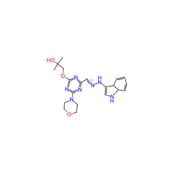 CC(C)(O)COc1nc(/C=N/NC2=CNC3C=CC=CC23)nc(N2CCOCC2)n1